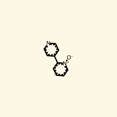 [O-][n+]1cc[c]cc1-c1ccncc1